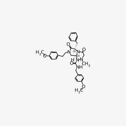 COc1ccc(CCN2C[C@H]3N(C(=O)CN(C)N3C(=O)NCc3ccc(OC)cc3)[C@@H](Cc3ccccc3)C2=O)cc1